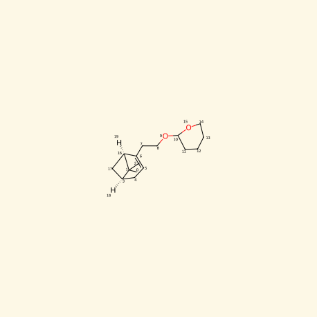 CC1(C)[C@H]2CC=C(CCOC3CCCCO3)[C@@H]1C2